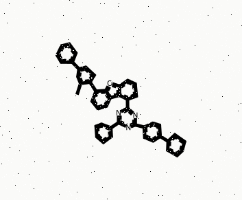 Cc1cc(-c2ccccc2)ccc1-c1cccc2c1oc1cccc(-c3nc(-c4ccccc4)nc(-c4ccc(-c5ccccc5)cc4)n3)c12